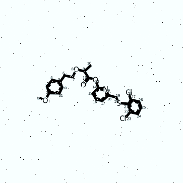 COc1ccc(CCOC(C)C(=O)Oc2cccc(CSc3c(Cl)cccc3Cl)n2)cc1